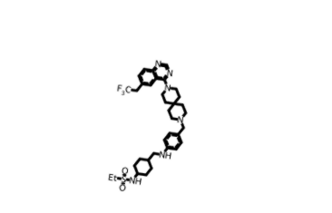 CCS(=O)(=O)NC1CCC(CNc2ccc(CN3CCC4(CC3)CCN(c3ncnc5ccc(CC(F)(F)F)cc35)CC4)cc2)CC1